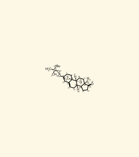 CC(C)(C)[Si](C)(C)OOC1CC[C@@]2(C)C(=CC[C@@H]3[C@H]2CC[C@]2(C)C(=O)CC[C@@H]32)C1